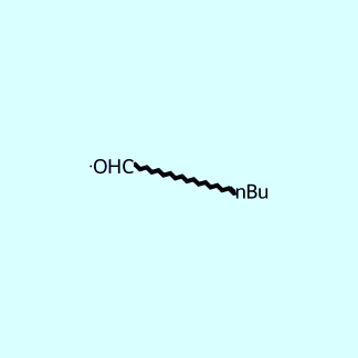 CCCCC=CCCCCCCCCCCCCCCCC[C]=O